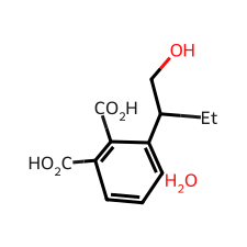 CCC(CO)c1cccc(C(=O)O)c1C(=O)O.O